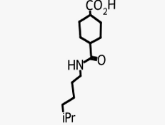 CC(C)CCCCNC(=O)C1CCC(C(=O)O)CC1